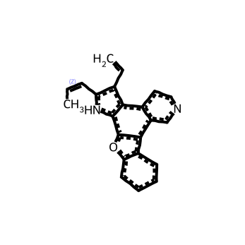 C=Cc1c(/C=C\C)[nH]c2c3oc4ccccc4c3c3cnccc3c12